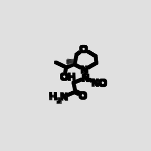 CC(O)[C@H]1COCCN1N(CC(N)=O)N=O